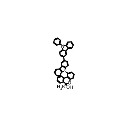 BC1(O)Oc2cccc(-n3c4c(c5cc(-c6ccc7c(c6)c6ccccc6n7-c6ccccc6)ccc53)C=CCC4)c2-c2c#cccc21